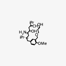 COc1ccc(C[C@@H](C[C@H](N)[C@@H](O)C[C@H](C)C(C)C)C(C)C)cc1COCCCO